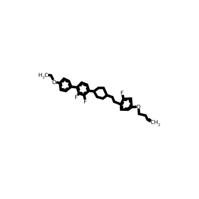 C=CCCOc1ccc(CCC2CCC(c3ccc(-c4ccc(OCC)cc4)c(F)c3F)CC2)c(F)c1